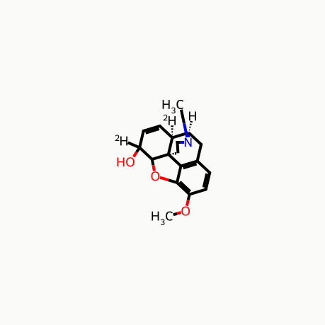 [2H]C1(O)C=C[C@@]2([2H])[C@H]3Cc4ccc(OC)c5c4[C@@]2(CCN3C)C1O5